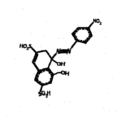 O=[N+]([O-])c1ccc(/N=N/C2(O)CC(S(=O)(=O)O)=Cc3cc(S(=O)(=O)O)cc(O)c32)cc1